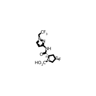 O=C(Nc1ccn(CC(F)(F)F)n1)[C@@H]1C[C@@H](F)CN1C(=O)O